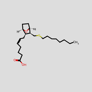 CCCCCCCCSC[C@H]1[C@@H](C/C=C\CCCC(=O)O)[C@H]2CC[C@@H]1O2